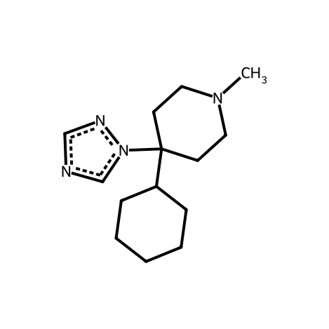 CN1CCC(C2CCCCC2)(n2cncn2)CC1